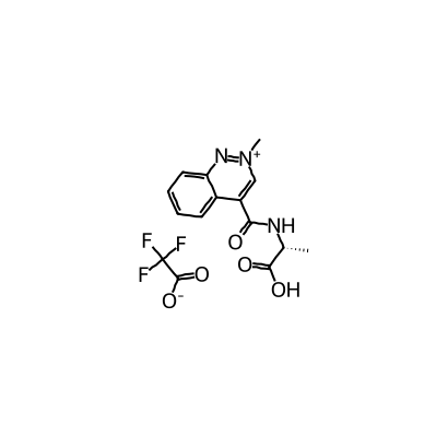 C[C@@H](NC(=O)c1c[n+](C)nc2ccccc12)C(=O)O.O=C([O-])C(F)(F)F